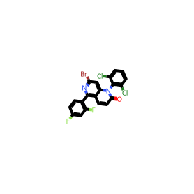 O=c1ccc2c(-c3ccc(F)cc3F)nc(Br)cc2n1-c1c(Cl)cccc1Cl